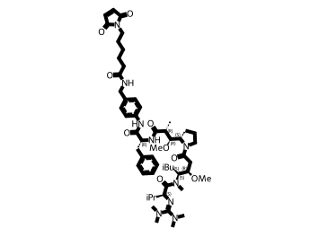 CC[C@H](C)[C@@H]([C@@H](CC(=O)N1CCC[C@H]1[C@H](OC)[C@@H](C)C(=O)N[C@H](Cc1ccccc1)C(=O)Nc1ccc(CNC(=O)CCCCCN2C(=O)C=CC2=O)cc1)OC)N(C)C(=O)[C@@H](N=C(N(C)C)N(C)C)C(C)C